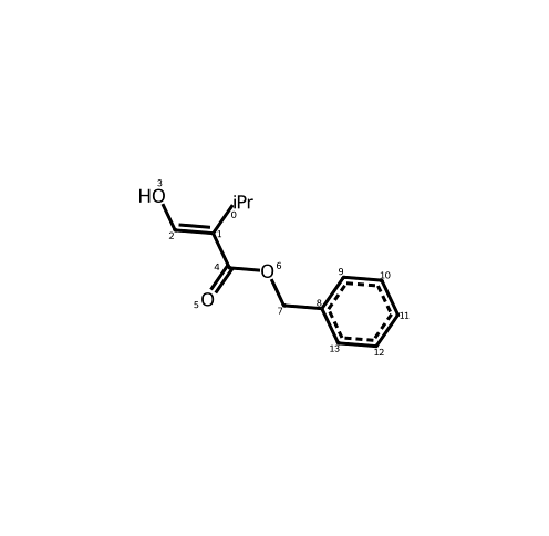 CC(C)/C(=C\O)C(=O)OCc1ccccc1